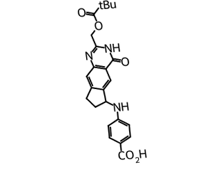 CC(C)(C)C(=O)OCc1nc2cc3c(cc2c(=O)[nH]1)C(Nc1ccc(C(=O)O)cc1)CC3